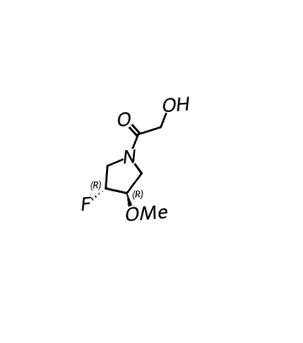 CO[C@@H]1CN(C(=O)CO)C[C@H]1F